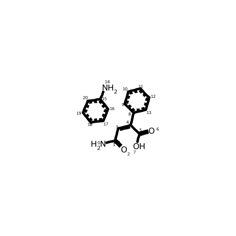 NC(=O)C=C(C(=O)O)c1ccccc1.Nc1ccccc1